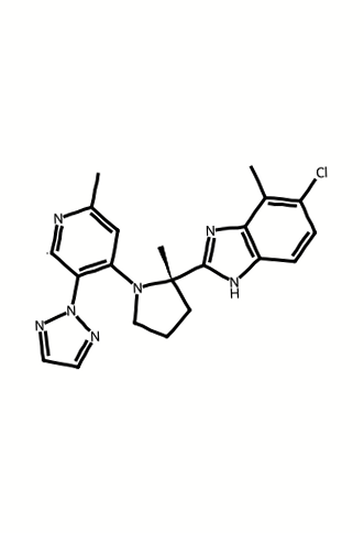 Cc1cc(N2CCC[C@@]2(C)c2nc3c(C)c(Cl)ccc3[nH]2)c(-n2nccn2)[c]n1